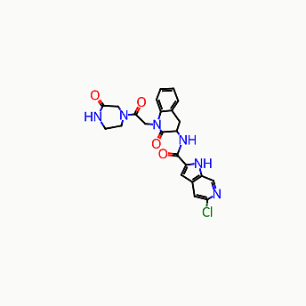 O=C1CN(C(=O)CN2C(=O)C(NC(=O)c3cc4cc(Cl)ncc4[nH]3)Cc3ccccc32)CCN1